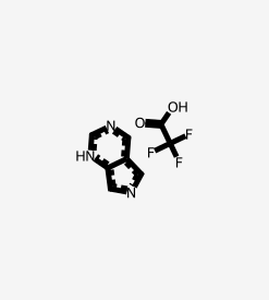 O=C(O)C(F)(F)F.c1ncc2cncc-2[nH]1